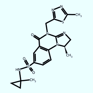 Cc1nnc(CN2C(=O)c3cc(S(=O)(=O)NC4(C)CC4)ccc3N3C2=NC[C@H]3C)s1